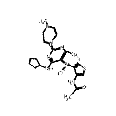 CC(=O)Nc1cscc1[S+]([O-])c1c(C)nc(N2CCN(C)CC2)nc1NC1CCCC1